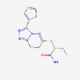 CC[C@@H](Oc1ccc2nnc(-c3cccs3)n2n1)C(N)=O